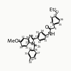 CCSc1ccc(CC(=O)Nc2ccc(-c3nc4cc(OC)ccc4n3[C@H](C)c3ccc(C)cc3)cc2)cc1